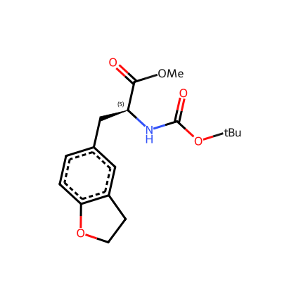 COC(=O)[C@H](Cc1ccc2c(c1)CCO2)NC(=O)OC(C)(C)C